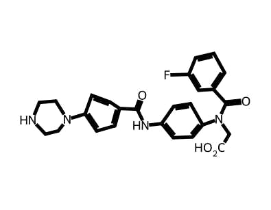 O=C(O)CN(C(=O)c1cccc(F)c1)c1ccc(NC(=O)c2ccc(N3CCNCC3)cc2)cc1